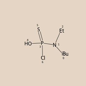 CCC(C)N(CC)P(O)(=S)Cl